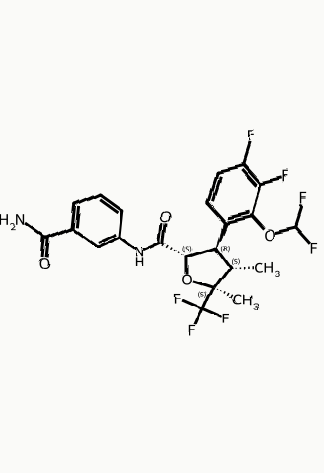 C[C@H]1[C@H](c2ccc(F)c(F)c2OC(F)F)[C@@H](C(=O)Nc2cccc(C(N)=O)c2)O[C@]1(C)C(F)(F)F